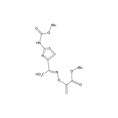 C=C(ON=C(C(=O)O)c1csc(NC(=O)OC(C)(C)C)n1)C(=O)OC(C)(C)C